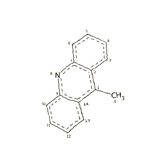 Cc1c2[c]cccc2nc2ccccc12